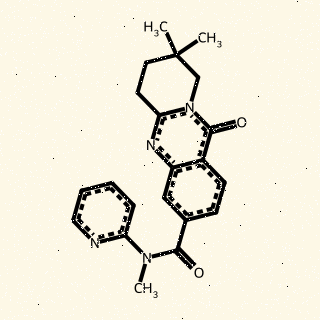 CN(C(=O)c1ccc2c(=O)n3c(nc2c1)CCC(C)(C)C3)c1ccccn1